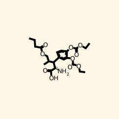 CCCC(=O)OCC(C)C(c1ccc(OC(=O)OCC)c(OC(=O)OCC)c1)[C@H](N)C(=O)O